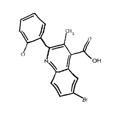 Cc1c(-c2ccccc2Cl)nc2ccc(Br)cc2c1C(=O)O